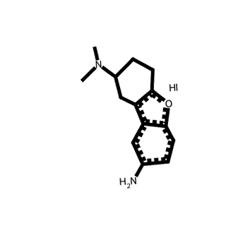 CN(C)C1CCc2oc3ccc(N)cc3c2C1.I